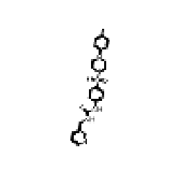 Cc1ccc(N2CCN(S(=O)(=O)c3ccc(NC(=S)NCc4cccnc4)cc3)CC2)cc1